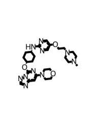 CN1CCN(CCOc2cnc(N[C@H]3CC[C@@H](Oc4nc(N5CCOCC5)cc5ncnn45)CC3)nc2)CC1